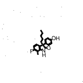 CCCCCC1(c2ccc(O)cc2)C(=O)Nc2c1ccc(F)c2C